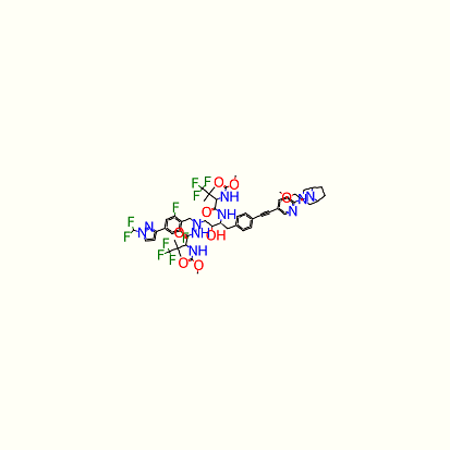 COCCN1C2CCC1CN(c1ccc(C#Cc3ccc(C[C@H](NC(=O)C(NC(=O)OC)C(C)(C)C(F)(F)F)[C@@H](O)CN(Cc4c(F)cc(-c5ccn(C(F)F)n5)cc4F)NC(=O)[C@@H](NC(=O)OC)C(C)(C)C(F)(F)F)cc3)cn1)C2